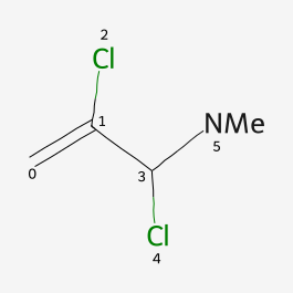 C=C(Cl)C(Cl)NC